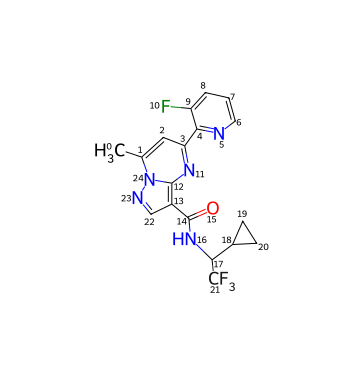 Cc1cc(-c2ncccc2F)nc2c(C(=O)NC(C3CC3)C(F)(F)F)cnn12